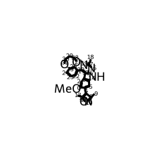 COc1cc2c(cc1-c1c(C)noc1C)[nH]c1nc(C)nc(-c3cccc4c3OCCCO4)c12